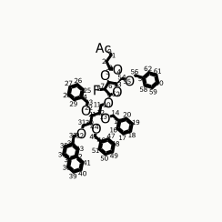 CC(=O)CCC(=O)O[C@@H]1C(F)[C@H](OCC(OCc2ccccc2)C(OCc2ccccc2)C(COCc2ccc3ccccc3c2)OCc2ccccc2)O[C@@H]1COCc1ccccc1